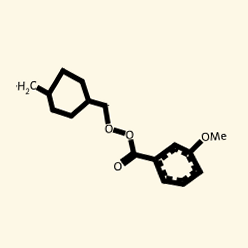 [CH2]C1CCC([CH]OOC(=O)c2cccc(OC)c2)CC1